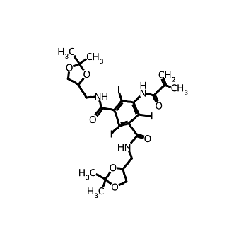 C=C(C)C(=O)Nc1c(I)c(C(=O)NCC2COC(C)(C)O2)c(I)c(C(=O)NCC2COC(C)(C)O2)c1I